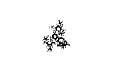 CC[C@H]1C[C@H]2C[C@H]3c4c(c5cc(OC[C@H](O)[C@@H]6OC(C)(C)O[C@@H]6[C@H]6COC(C)(C)O6)ccc5n4C[C@H](O)[C@@H]4OC(C)(C)O[C@@H]4[C@H]4COC(C)(C)O4)CCN(C2)C13